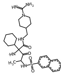 CC(NS(=O)(=O)c1ccc2ccccc2c1)C(=O)C([NH])(C(=O)NCC1CCN(C(=N)N)CC1)C1CCCCC1